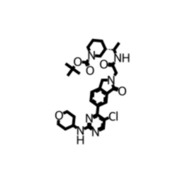 CC(NC(=O)CN1Cc2ccc(-c3nc(NC4CCOCC4)ncc3Cl)cc2C1=O)[C@H]1CCCN(C(=O)OC(C)(C)C)C1